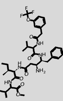 CC[C@H](C)[C@H](NC(=O)C[C@H](N)[C@H](Cc1ccccc1)NC(=O)C(NC(=O)Cc1cccc(OC(F)(F)F)c1)C(C)C)C(=O)NC(C(=O)OC)C(C)C